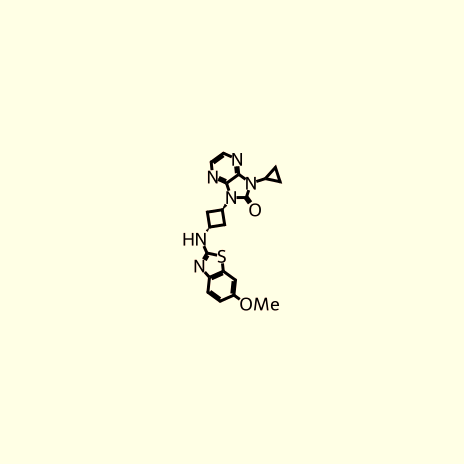 COc1ccc2nc(N[C@H]3C[C@H](n4c(=O)n(C5CC5)c5nccnc54)C3)sc2c1